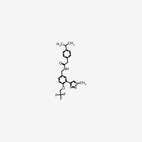 CC(C)c1ccc(CC(=O)NCc2ccc(OCC(F)(F)F)c(-c3cn(C)nn3)c2)cc1